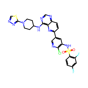 O=S(=O)(Nc1cc(-c2ccc3ncnc(NC4CCN(c5nncs5)CC4)c3n2)cnc1Cl)c1ccc(F)cc1F